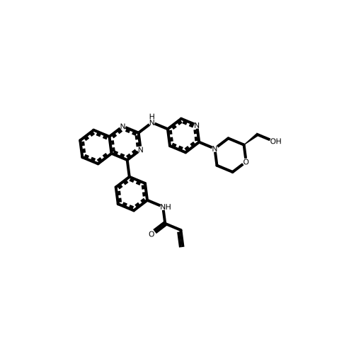 C=CC(=O)Nc1cccc(-c2nc(Nc3ccc(N4CCO[C@H](CO)C4)nc3)nc3ccccc23)c1